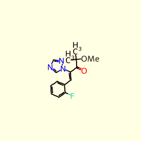 COC(C)(C)C(=O)/C(=C/c1ccccc1F)n1cncn1